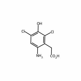 Nc1cc(Cl)c(O)c(Cl)c1CC(=O)O